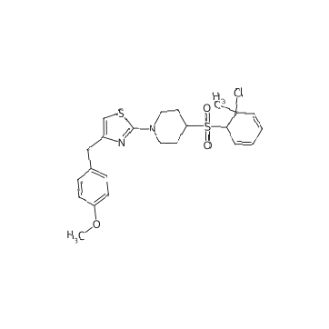 COc1ccc(Cc2csc(N3CCC(S(=O)(=O)C4C=CC=CC4(C)Cl)CC3)n2)cc1